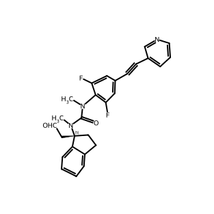 CN(C(=O)N(C)[C@]1(CC=O)CCc2ccccc21)c1c(F)cc(C#Cc2cccnc2)cc1F